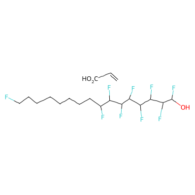 C=CC(=O)O.OC(F)C(F)C(F)C(F)C(F)C(F)C(F)C(F)CCCCCCCCF